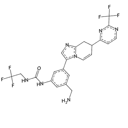 NCc1cc(NC(=O)NCC(F)(F)F)cc(-c2cnc3n2C=CC(c2ccnc(C(F)(F)F)n2)C3)c1